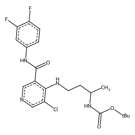 CC(CCNc1c(Cl)cncc1C(=O)Nc1ccc(F)c(F)c1)NC(=O)OC(C)(C)C